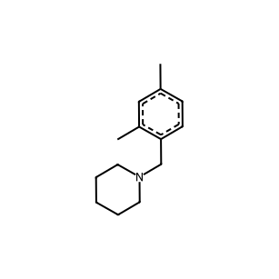 Cc1ccc(CN2CCCCC2)c(C)c1